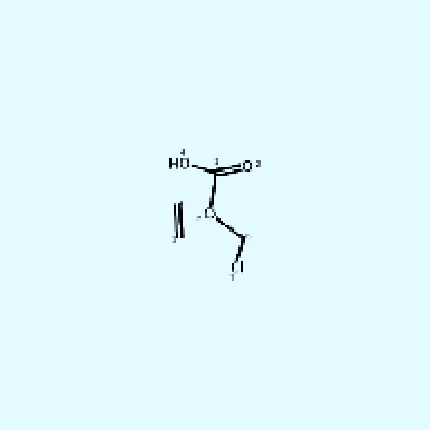 C=C.O=C(O)OCCl